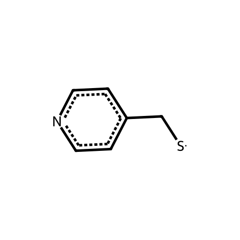 [S]Cc1ccncc1